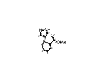 COC(=O)c1ccccc1-c1cn[nH]c1